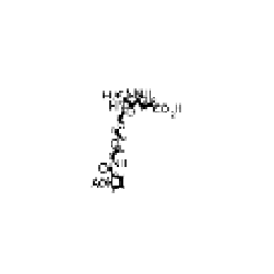 CC(=O)N1CCCC1C(=O)NCCOCCOCCNC(C)(N)C(=O)C(N)CCC(=O)O